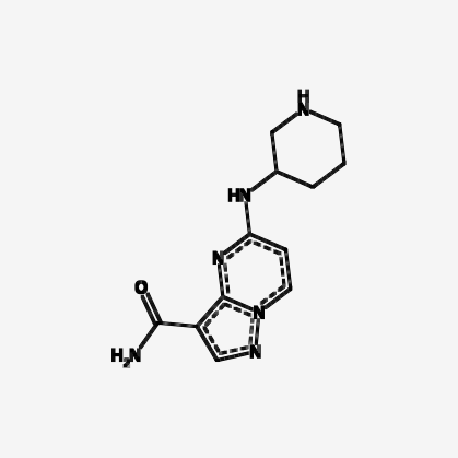 NC(=O)c1cnn2ccc(NC3CCCNC3)nc12